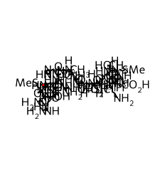 CSCC[C@H](NC(=O)[C@@H](NC(=O)CNC(=O)[C@H](CC(C)C)NC(=O)[C@H](CS)NC(=O)CNC(=O)[C@H](CO)NC(=O)CNC(=O)[C@H](C)NC(=O)CNC(=O)[C@H](Cc1c[nH]cn1)NC(=O)[C@H](CCCNC(=N)N)NC(=O)[C@H](Cc1c[nH]cn1)NC(=O)[C@H](CO)NC(=O)[C@H](CCCNC(=N)N)NC(=O)[C@H](CC(N)=O)NC(=O)[C@@H](N)CCSC)[C@@H](C)O)C(=O)N[C@@H](CCC(=O)O)C(=O)N[C@H](C(=O)N[C@@H](CCCCN)C(=O)O)C(C)C